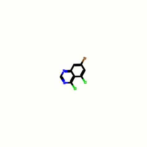 Clc1cc(Br)cc2ncnc(Cl)c12